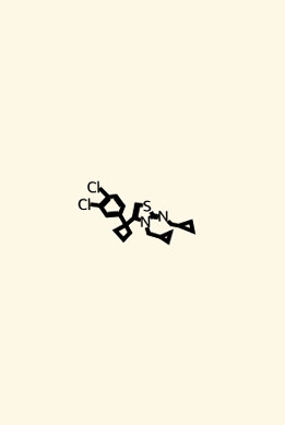 Clc1ccc(C2(c3csc(=NCC4CC4)n3CC3CC3)CCC2)cc1Cl